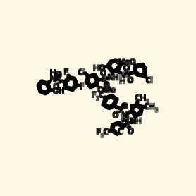 COc1ccc(Cl)cc1S(=O)(=O)Nc1cccc(O)c1NS(=O)(=O)c1cc(Cl)ccc1OC.Cc1cc(NS(=O)(=O)c2ccc(C(F)(F)F)cc2)c(NS(=O)(=O)c2ccc(C(F)(F)F)cc2)cc1C.O=S(=O)(Nc1ccccc1O)c1ccc(F)cc1F